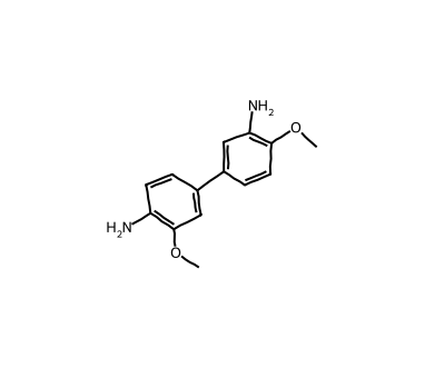 COc1ccc(-c2ccc(N)c(OC)c2)cc1N